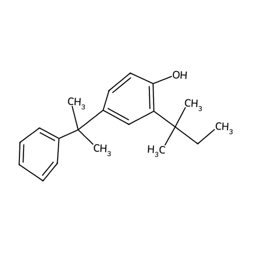 CCC(C)(C)c1cc(C(C)(C)c2ccccc2)ccc1O